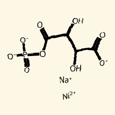 O=C([O-])C(O)C(O)C(=O)OP(=O)([O-])[O-].[Na+].[Ni+2]